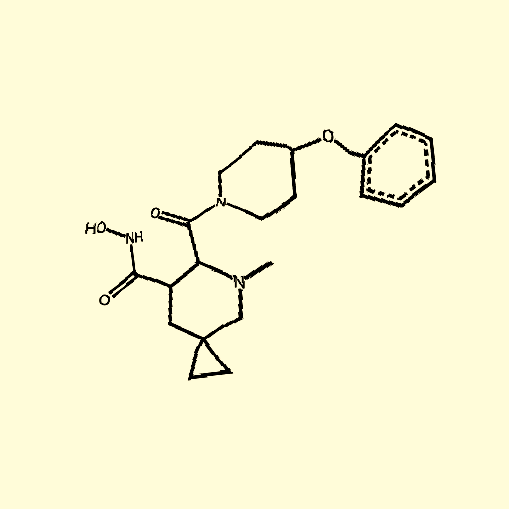 CN1CC2(CC2)CC(C(=O)NO)C1C(=O)N1CCC(Oc2ccccc2)CC1